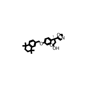 CC1(C)CCC(C)(C)c2cc(COc3ccc([C@](C)(CC(=O)O)c4cnco4)cc3)ccc21